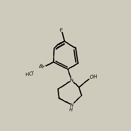 Cl.OC1CNCCN1c1ccc(F)cc1Br